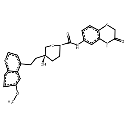 COc1ccc2nccc(CC[C@]3(O)CC[C@@H](C(=O)Nc4ccc5c(c4)NC(=O)CS5)CC3)c2c1